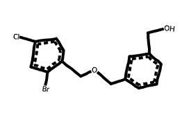 OCc1cccc(COCc2ccc(Cl)cc2Br)c1